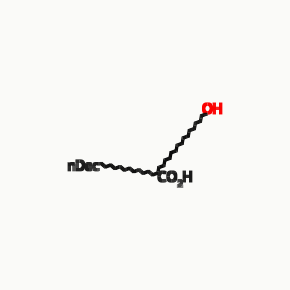 CCCCCCCCCCCCCCCCCCCCCCC(CCCCCCCCCCCCCCCCO)C(=O)O